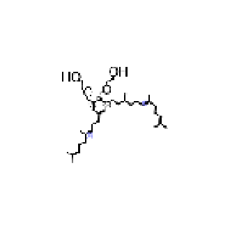 C=C(CC/C=C(\C)CCC=C(C)C)CC[C@H]1C=C(CC/C=C(\C)CCC=C(C)C)C[C@@H](COCCO)[C@@H]1COCCO